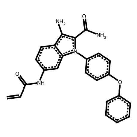 C=CC(=O)Nc1ccc2c(N)c(C(N)=O)n(-c3ccc(Oc4ccccc4)cc3)c2c1